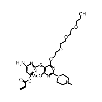 C=CC(=O)Nc1cc(N)nc(Sc2c(OC)nc(N3CCN(C)CC3)nc2OCCOCCOCCOCCO)n1